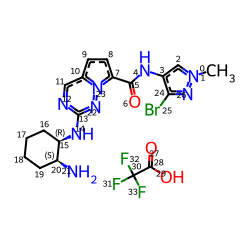 Cn1cc(NC(=O)c2ccc3cnc(N[C@@H]4CCCC[C@@H]4N)nn23)c(Br)n1.O=C(O)C(F)(F)F